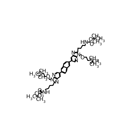 CC(C)(C)OC(=O)NCCCCc1nc2cc(-c3ccc4cc(-c5cnc6c(c5)nc(CCCCNC(=O)OC(C)(C)C)n6COCC[Si](C)(C)C)ccc4c3)cnc2n1COCC[Si](C)(C)C